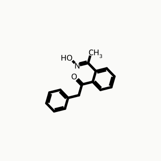 CC(=NO)c1ccccc1C(=O)Cc1ccccc1